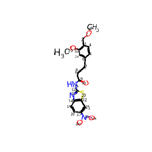 COCc1ccc(CCC(=O)Nc2nc3ccc([N+](=O)[O-])cc3s2)cc1OC